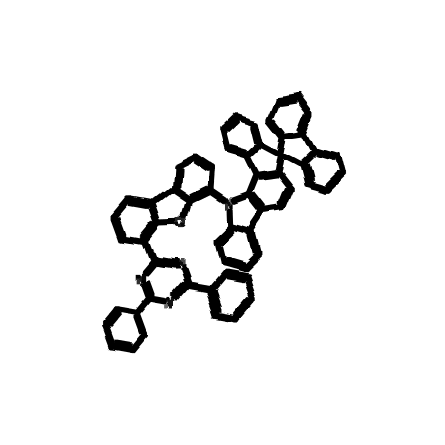 c1ccc(-c2nc(-c3ccccc3)nc(-c3cccc4c3oc3c(-n5c6ccccc6c6ccc7c(c65)-c5ccccc5C75c6ccccc6-c6ccccc65)cccc34)n2)cc1